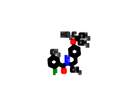 CC(Cc1ccc(OC(C)(C)C(=O)O)cc1)NC(=O)c1cc(C(F)(F)F)ccc1F